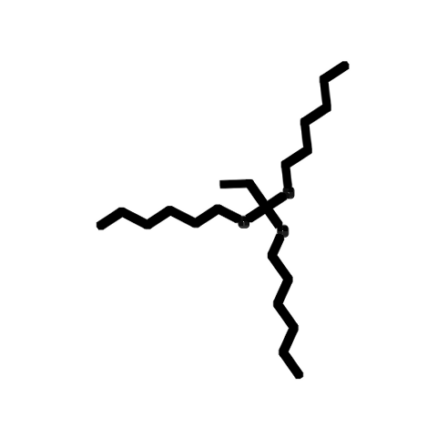 CCCCCCOC(CC)(OCCCCCC)OCCCCCC